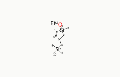 C=C[Si](C)(CCC[Si](C)(C)C)OCC